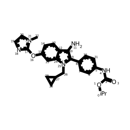 CC(C)OC(=O)Nc1ccc(-c2c(N)c3ccc(Oc4nccn4C)cc3n2CC2CC2)cc1